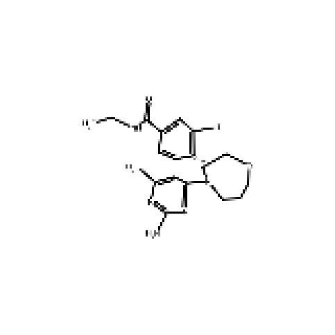 CCNC(=O)c1ccc([C@@H]2COCCCN2c2cc(C)nc(N)n2)c(Cl)c1